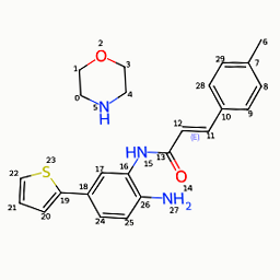 C1COCCN1.Cc1ccc(/C=C/C(=O)Nc2cc(-c3cccs3)ccc2N)cc1